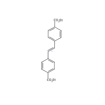 CCOC(=O)c1ccc(/C=C/c2ccc(C(=O)OCC)cc2)cc1